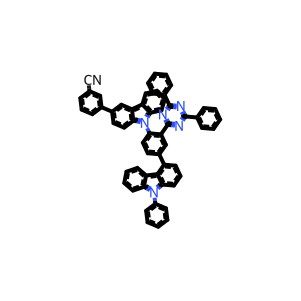 N#Cc1cccc(-c2ccc3c(c2)c2ccccc2n3-c2ccc(-c3cccc4c3c3ccccc3n4-c3ccccc3)cc2-c2nc(-c3ccccc3)nc(-c3ccccc3)n2)c1